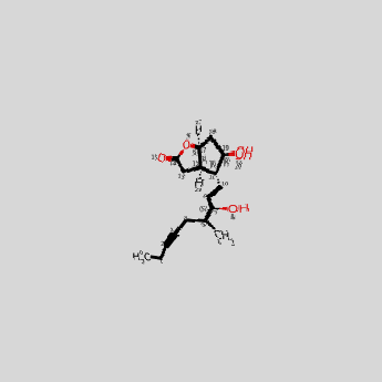 CCC#CCC(C)[C@H](O)C=C[C@@H]1[C@H]2CC(=O)O[C@H]2C[C@H]1O